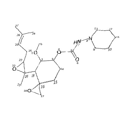 COC1C(OC(=O)NN2CCCCC2)CCC2(CO2)C1C1(C)OC1CC=C(C)C